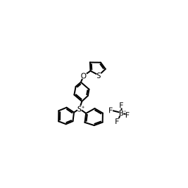 F[B-](F)(F)F.c1ccc([S+](c2ccccc2)c2ccc(Oc3cccs3)cc2)cc1